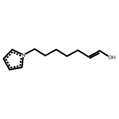 OC=CCCCCCn1cccc1